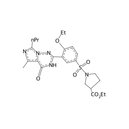 CCCc1nc(C)c2c(=O)[nH]c(-c3cc(S(=O)(=O)N4CCC(C(=O)OCC)C4)ccc3OCC)nn12